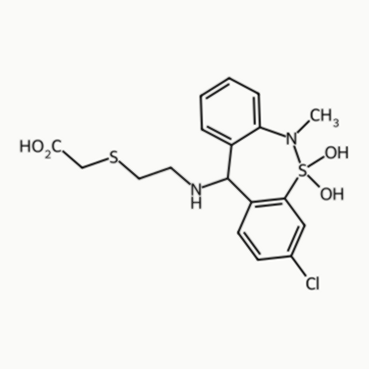 CN1c2ccccc2C(NCCSCC(=O)O)c2ccc(Cl)cc2S1(O)O